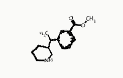 COC(=O)c1cccc(C(C)C2CCCNC2)c1